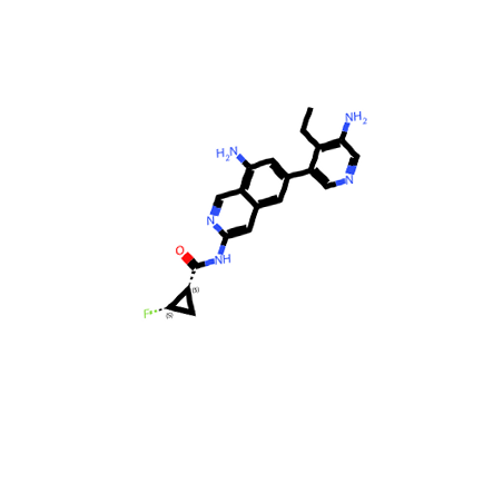 CCc1c(N)cncc1-c1cc(N)c2cnc(NC(=O)[C@@H]3C[C@@H]3F)cc2c1